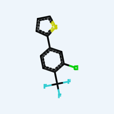 FC(F)(F)c1ccc(-c2cccs2)cc1Cl